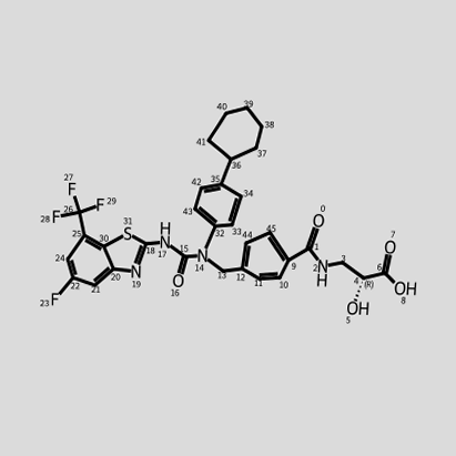 O=C(NC[C@@H](O)C(=O)O)c1ccc(CN(C(=O)Nc2nc3cc(F)cc(C(F)(F)F)c3s2)c2ccc(C3CCCCC3)cc2)cc1